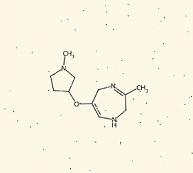 CC1=NCC(OC2CCN(C)C2)=CNC1